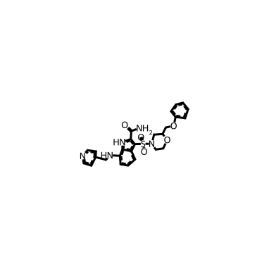 NC(=O)c1[nH]c2c(NCc3ccncc3)cccc2c1S(=O)(=O)N1CCOC(COc2ccccc2)C1